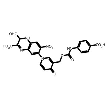 O=CC1Nc2cc([N+](=O)[O-])c(-n3ccc(=O)c(COC(=O)Nc4ccc(C(=O)O)cc4)c3)cc2N=C1C(=O)O